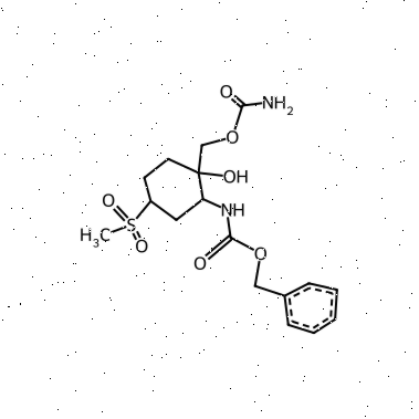 CS(=O)(=O)C1CCC(O)(COC(N)=O)C(NC(=O)OCc2ccccc2)C1